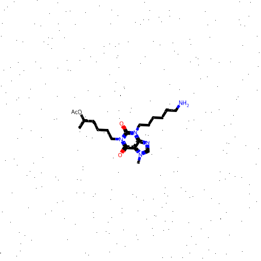 CC(=O)OC(C)CCCCn1c(=O)c2c(ncn2C)n(CCCCCCN)c1=O